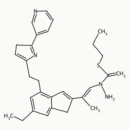 C=C(SCCC)N(N)/C=C(\C)C1=Cc2c(CCC3=CCC(c4cccnc4)=N3)cc(CC)cc2C1